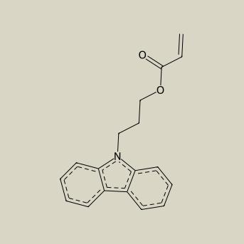 C=CC(=O)OCCCn1c2ccccc2c2ccccc21